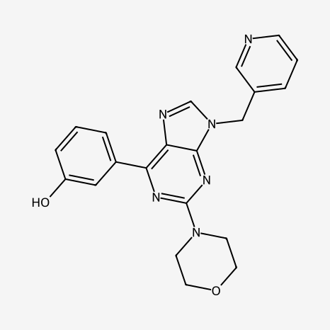 Oc1cccc(-c2nc(N3CCOCC3)nc3c2ncn3Cc2cccnc2)c1